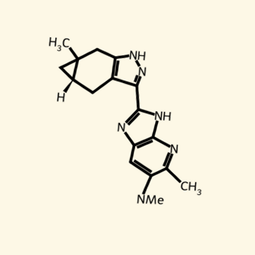 CNc1cc2nc(-c3n[nH]c4c3C[C@@H]3CC3(C)C4)[nH]c2nc1C